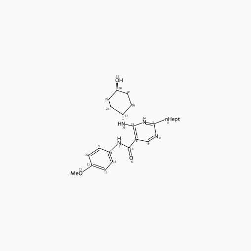 CCCCCCCc1ncc(C(=O)Nc2ccc(OC)cc2)c(N[C@H]2CC[C@H](O)CC2)n1